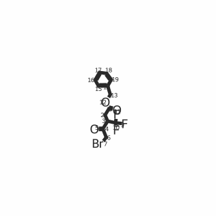 O=C(CC(C(=O)CBr)C(F)(F)F)OCc1ccccc1